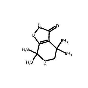 BC1(B)CNC(B)(B)c2o[nH]c(=O)c21